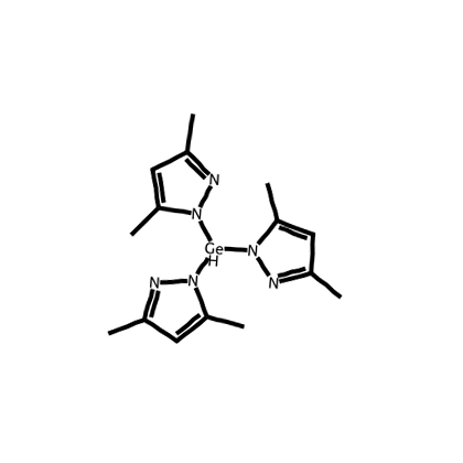 Cc1cc(C)[n]([GeH]([n]2nc(C)cc2C)[n]2nc(C)cc2C)n1